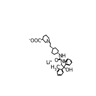 C[C@H](NC(=O)N[C@H]1CC[C@H](CCN2CCCC(C(=O)[O-])C2)CC1)C(O)(c1ccccc1)c1ccccc1.[Li+]